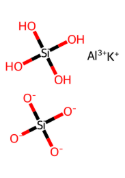 O[Si](O)(O)O.[Al+3].[K+].[O-][Si]([O-])([O-])[O-]